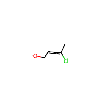 CC(Cl)=CC[O]